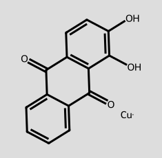 O=C1c2ccccc2C(=O)c2c1ccc(O)c2O.[Cu]